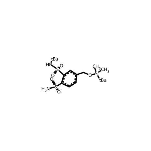 CC(C)(C)NS(=O)(=O)c1cc(CO[Si](C)(C)C(C)(C)C)ccc1S(N)(=O)=O